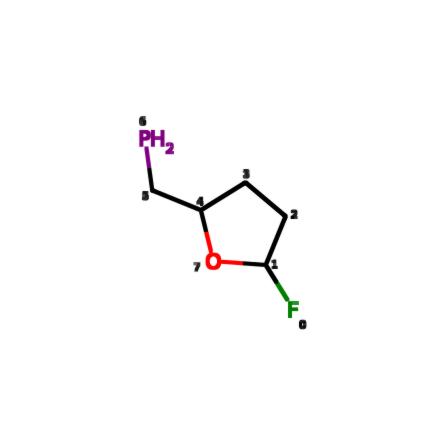 FC1CCC(CP)O1